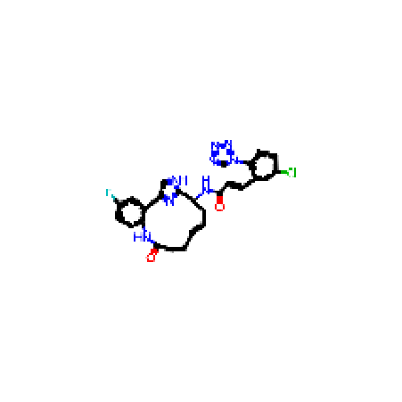 O=C(/C=C/c1cc(Cl)ccc1-n1cnnn1)N[C@H]1C/C=C/CCC(=O)Nc2ccc(F)cc2-c2c[nH]c1n2